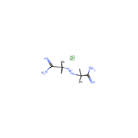 CC(C)C(C)(/N=N/C(C)(C(=N)N)C(C)C)C(=N)N.Cl.Cl